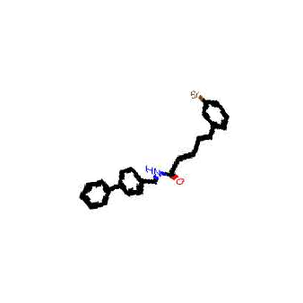 O=C(CCCCc1cccc(Br)c1)NCc1ccc(-c2ccccc2)cc1